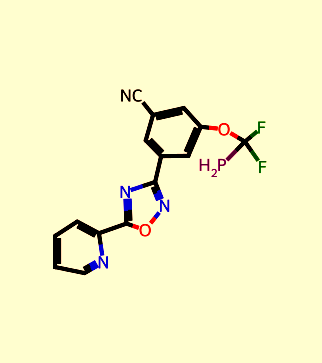 N#Cc1cc(OC(F)(F)P)cc(-c2noc(-c3ccccn3)n2)c1